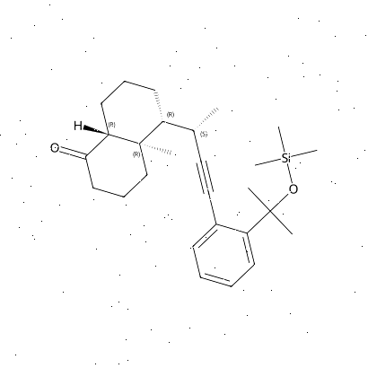 C[C@H](C#Cc1ccccc1C(C)(C)O[Si](C)(C)C)[C@H]1CCC[C@H]2C(=O)CCC[C@]12C